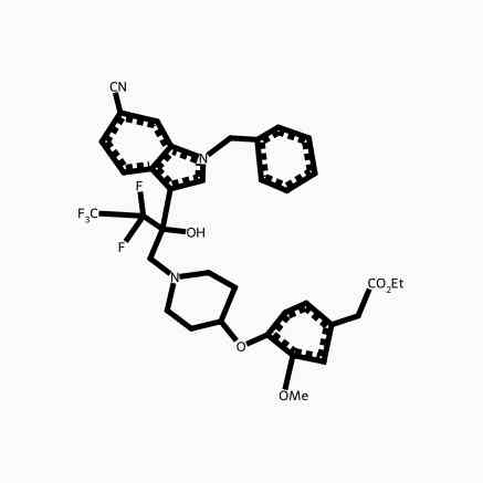 CCOC(=O)Cc1ccc(OC2CCN(CC(O)(c3cn(Cc4ccccc4)c4cc(C#N)ccc34)C(F)(F)C(F)(F)F)CC2)c(OC)c1